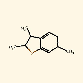 CC1C=C2SC(C)C(C)C2=CC1